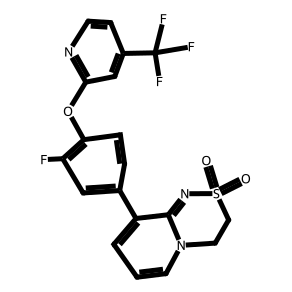 O=S1(=O)CCN2C=CC=C(c3ccc(Oc4cc(C(F)(F)F)ccn4)c(F)c3)C2=N1